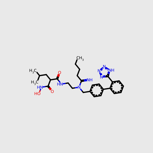 CCCCC(=N)N(CCNC(=O)C(CC(C)C)C(=O)NO)Cc1ccc(-c2ccccc2-c2nnn[nH]2)cc1